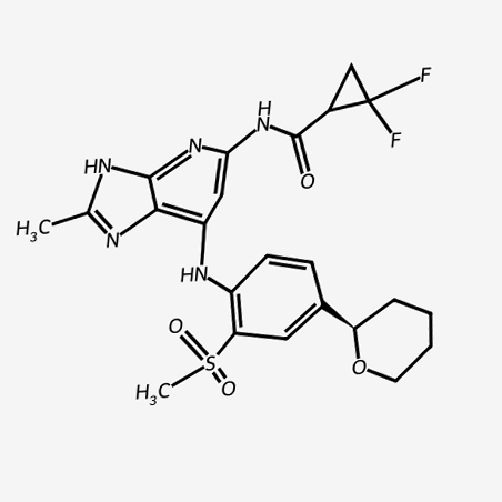 Cc1nc2c(Nc3ccc([C@H]4CCCCO4)cc3S(C)(=O)=O)cc(NC(=O)C3CC3(F)F)nc2[nH]1